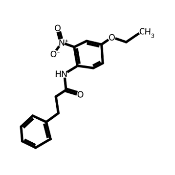 CCOc1ccc(NC(=O)CCc2ccccc2)c([N+](=O)[O-])c1